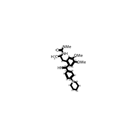 CNC(=O)NC(C)Cc1cc(OC)c(OC)cc1C(=N)c1ccc(N2CCCCC2)cc1